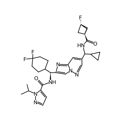 CC(C)n1nccc1C(=O)N[C@H](c1cn2ncc(C(NC(=O)[C@]34C[C@@](F)(C3)C4)C3CC3)cc2n1)C1CCC(F)(F)CC1